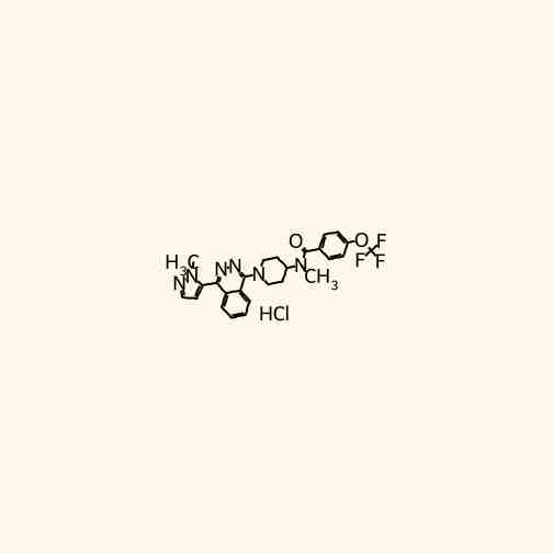 CN(C(=O)c1ccc(OC(F)(F)F)cc1)C1CCN(c2nnc(-c3ccnn3C)c3ccccc23)CC1.Cl